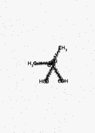 CCCCCCCCCCCC(=O)Oc1ccc(C(CCCCCCCCCCCC(=O)O)CCCCCCCCCCCC(=O)O)cc1OC(=O)CCCCCCCCCCC